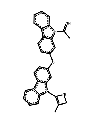 CC(=N)n1c2ccccc2c2ccc(Oc3ccc4c5ccccc5n(C5=C(C)CN5)c4c3)cc21